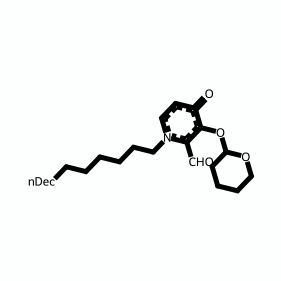 CCCCCCCCCCCCCCCCn1ccc(=O)c(OC2CCCCO2)c1C=O